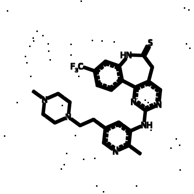 Cc1ncc(CCN2CCN(C)CC2)cc1Nc1ncc2c(n1)-c1ccc(C(F)(F)F)cc1NC(=S)C2